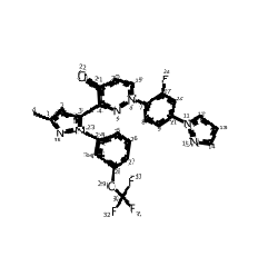 Cc1cc(-c2nn(-c3ccc(-n4cccn4)cc3F)ccc2=O)n(-c2cccc(OC(F)(F)F)c2)n1